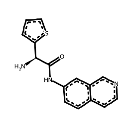 N[C@H](C(=O)Nc1ccc2ccncc2c1)c1cccs1